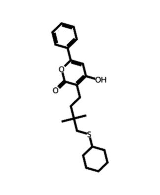 CC(C)(CCc1c(O)cc(-c2ccccc2)oc1=O)CSC1CCCCC1